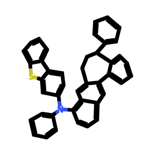 c1ccc(C2CCc3cc4c(N(c5ccccc5)c5ccc6c(c5)sc5ccccc56)cccc4cc3-c3ccccc32)cc1